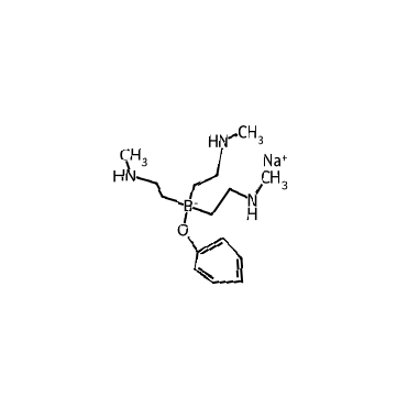 CNCC[B-](CCNC)(CCNC)Oc1ccccc1.[Na+]